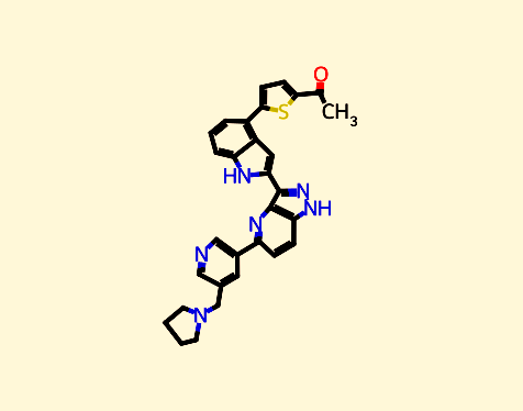 CC(=O)c1ccc(-c2cccc3[nH]c(-c4n[nH]c5ccc(-c6cncc(CN7CCCC7)c6)nc45)cc23)s1